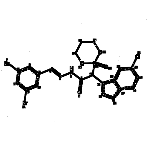 O=C(NC=Cc1cc(Br)cc(Br)c1)C(c1csc2ccc(Cl)cc12)P1(=O)OCCCO1